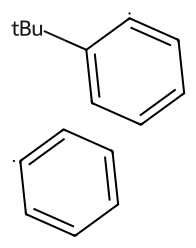 CC(C)(C)c1[c]cccc1.[c]1ccccc1